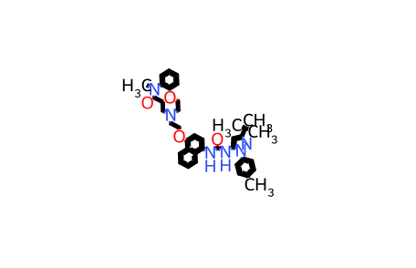 Cc1ccc(-n2nc(C(C)(C)C)cc2NC(=O)Nc2ccc(OCCN3CCOC(C(=O)N(C)c4ccccc4)C3)c3ccccc23)cc1